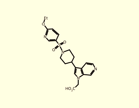 CCOc1ccc(S(=O)(=O)N2CCC(c3cn(CC(=O)O)c4cnccc34)CC2)cn1